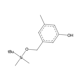 Cc1cc(O)cc(CO[Si](C)(C)C(C)(C)C)c1